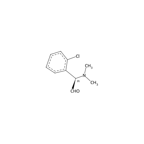 CN(C)[C@@H](C=O)c1ccccc1Cl